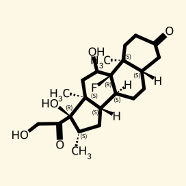 C[C@H]1C[C@H]2[C@@H]3CC[C@H]4CC(=O)CC[C@]4(C)[C@@]3(F)C(O)C[C@]2(C)[C@@]1(O)C(=O)CO